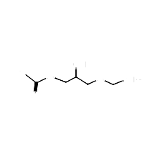 CCCCCCCCOCC(O)COC(=O)CCC